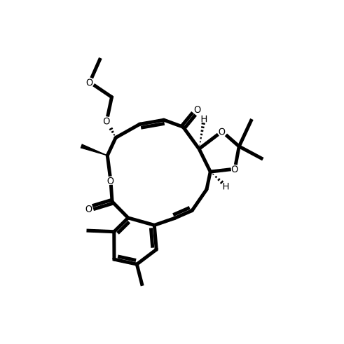 COCO[C@@H]1/C=C\C(=O)[C@H]2OC(C)(C)O[C@H]2C/C=C/c2cc(C)cc(C)c2C(=O)O[C@H]1C